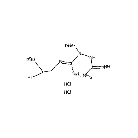 CCCCCCN(NC(=N)N)C(N)=NCC(CC)CCCC.Cl.Cl